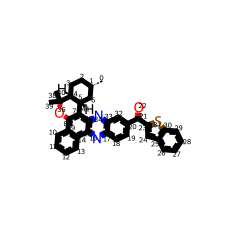 C[C@H]1CC[C@H]2[C@H](C1)c1c(c3ccccc3c3nc4ccc(C(=O)c5cc6ccccc6s5)cc4nc13)OC2(C)C